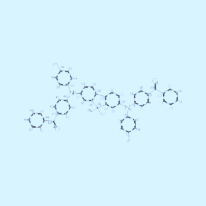 Cc1ccc(N(c2ccc(C(=O)c3ccccc3)cc2)c2ccc3c(c2)C(C)(C)c2cc(N(c4ccc(C)cc4)c4ccc(C(=O)c5ccccc5)cc4)ccc2-3)cc1